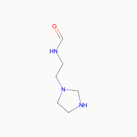 O=CNCCN1CCNC1